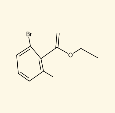 C=C(OCC)c1c(C)cccc1Br